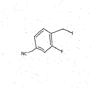 N#Cc1ccc(CI)c(F)c1